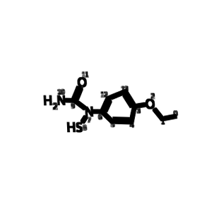 CCOc1ccc(N(S)C(N)=O)cc1